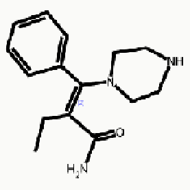 CC/C(C(N)=O)=C(\c1ccccc1)N1CCNCC1